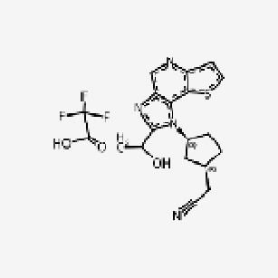 CC(O)c1nc2cnc3ccsc3c2n1[C@H]1CC[C@@H](CC#N)C1.O=C(O)C(F)(F)F